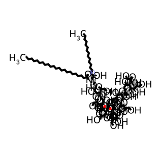 CCCCCCCCCCCCC/C=C/[C@@H](O)[C@H](CO[C@@H]1OC(CO)[C@@H](O[C@@H]2OC(CO)[C@H](O[C@@H]3OC(CO)[C@H](O)[C@H](O[C@@H]4OC(CO)[C@H](O)[C@H](O[C@@H]5OC(CO)[C@@H](O[C@@H]6OC(CO)[C@H](O)[C@H](O[C@]7(C(=O)O)CC(O)[C@@H](NC(=O)CO)C([C@H](O)[C@H](O)CO)O7)C6O)[C@H](O)C5NC(C)=O)C4O)C3NC(C)=O)[C@H](O)C2O)[C@H](O)C1O)NC(=O)CCCCCCCCCCCCCCCCCCCCCCC